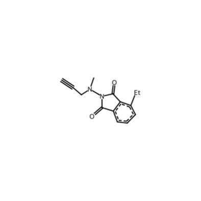 C#CCN(C)N1C(=O)c2cccc(CC)c2C1=O